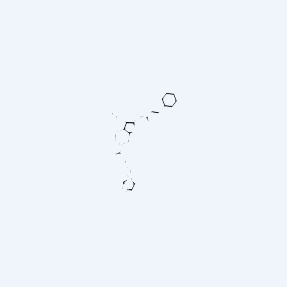 N#Cc1c(NC(=O)C=Cc2ccccc2)sc2c1CCN(C(=O)OCCn1ccnc1)C2